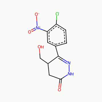 O=C1CC(CO)C(c2ccc(Cl)c([N+](=O)[O-])c2)=NN1